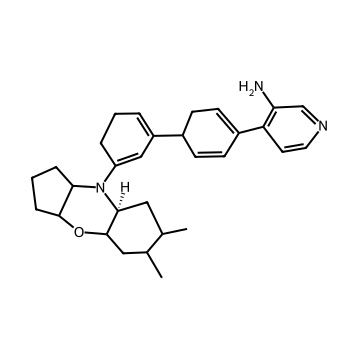 CC1CC2OC3CCCC3N(C3=CC(C4C=CC(c5ccncc5N)=CC4)=CCC3)[C@H]2CC1C